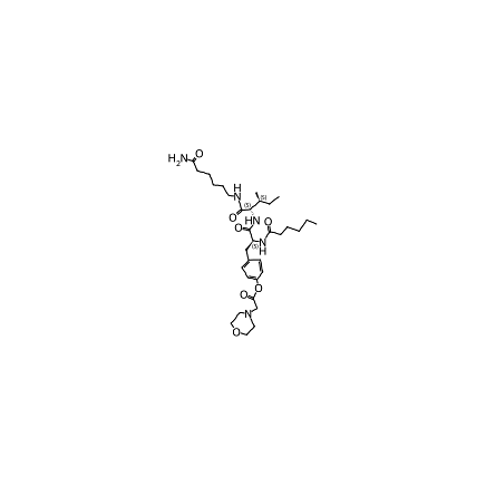 CCCCCC(=O)N[C@@H](Cc1ccc(OC(=O)CN2CCOCC2)cc1)C(=O)N[C@H](C(=O)NCCCCCC(N)=O)[C@@H](C)CC